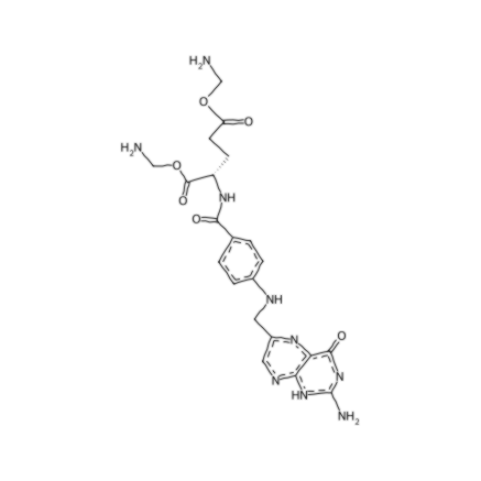 NCOC(=O)CC[C@H](NC(=O)c1ccc(NCc2cnc3[nH]c(N)nc(=O)c3n2)cc1)C(=O)OCN